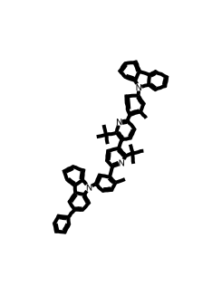 Cc1cc(-n2c3ccccc3c3ccccc32)ccc1-c1ccc(-c2ccc(-c3cc(-n4c5ccccc5c5cc(-c6ccccc6)ccc54)ccc3C)nc2C(C)(C)C)c(C(C)(C)C)n1